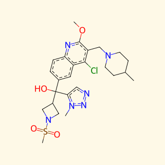 COc1nc2ccc(C(O)(c3cnnn3C)C3CN(S(C)(=O)=O)C3)cc2c(Cl)c1CN1CCC(C)CC1